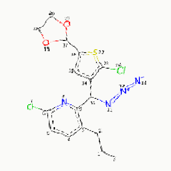 CCCc1ccc(Cl)nc1C(N=[N+]=[N-])c1cc(C2OCCO2)sc1Cl